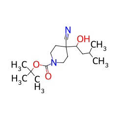 CC(C)CC(O)C1(C#N)CCN(C(=O)OC(C)(C)C)CC1